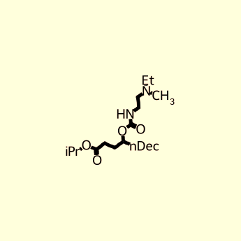 [CH2]C([CH2])OC(=O)CCC(CCCCCCCCCC)OC(=O)NCCN(C)CC